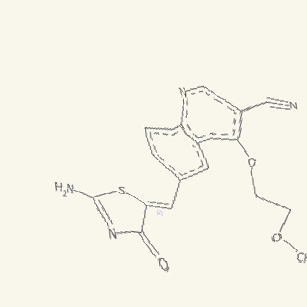 COCCOc1c(C#N)cnc2ccc(/C=C3\SC(N)=NC3=O)cc12